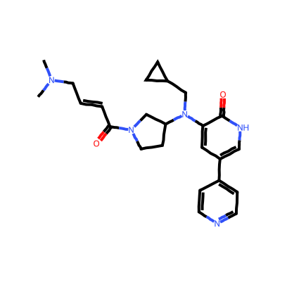 CN(C)C/C=C/C(=O)N1CCC(N(CC2CC2)c2cc(-c3ccncc3)c[nH]c2=O)C1